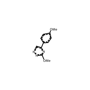 COc1ccc(-c2cnnc(OC)n2)cc1